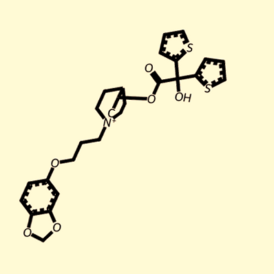 O=C(OC1C[N+]2(CCCOc3ccc4c(c3)OCO4)CCC1CC2)C(O)(c1cccs1)c1cccs1